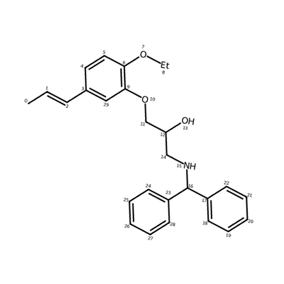 CC=Cc1ccc(OCC)c(OCC(O)CNC(c2ccccc2)c2ccccc2)c1